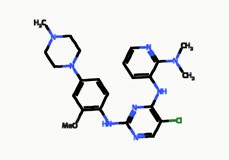 COc1cc(N2CCN(C)CC2)ccc1Nc1ncc(Cl)c(Nc2cccnc2N(C)C)n1